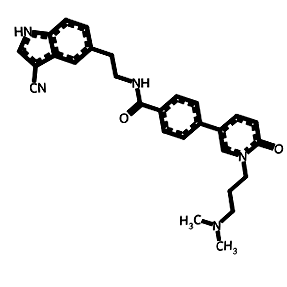 CN(C)CCCn1cc(-c2ccc(C(=O)NCCc3ccc4[nH]cc(C#N)c4c3)cc2)ccc1=O